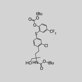 CC(CO)(CCc1ccc(Sc2cc(C(F)(F)F)ccc2OC(=O)OC(C)(C)C)cc1Cl)NC(=O)OC(C)(C)C